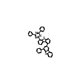 c1ccc(-c2nc(-c3ccccc3)nc(-c3cccc4c3sc3cccc(-c5cc(-c6ccccc6)c6sc7ccccc7c6c5)c34)n2)cc1